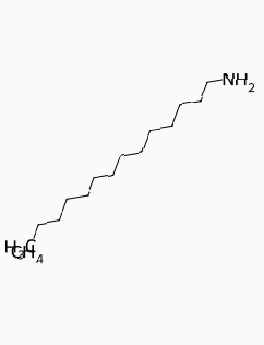 C.CCCCCCCCCCCCCCN